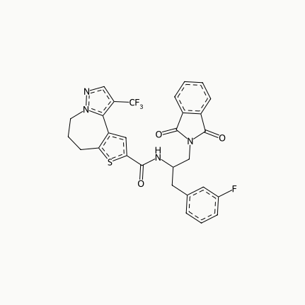 O=C(NC(Cc1cccc(F)c1)CN1C(=O)c2ccccc2C1=O)c1cc2c(s1)CCCn1ncc(C(F)(F)F)c1-2